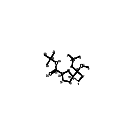 COC1(CN(C)C)CC[C@@]12CCN(C(=O)OC(C)(C)C)C2